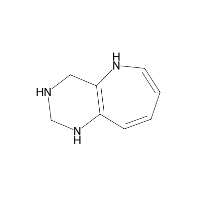 C1=CNC2=C(C=C1)NCNC2